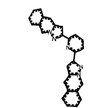 c1cc(-c2cc3cc4ccccc4cn3n2)nc(-c2cc3cc4ccccc4cn3n2)c1